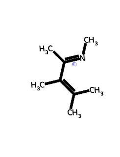 C/N=C(\C)C(C)=C(C)C